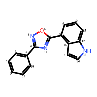 c1ccc(-c2noc(-c3cccc4[nH]ccc34)n2)cc1